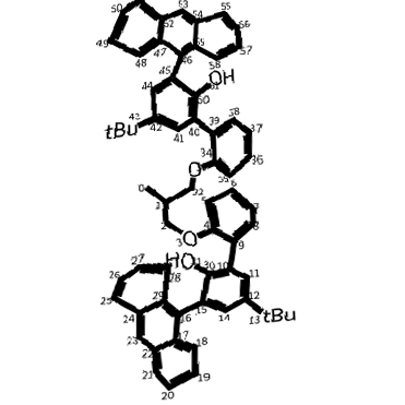 CC(COc1ccccc1-c1cc(C(C)(C)C)cc(-c2c3ccccc3cc3ccccc23)c1O)COc1ccccc1-c1cc(C(C)(C)C)cc(-c2c3ccccc3cc3ccccc23)c1O